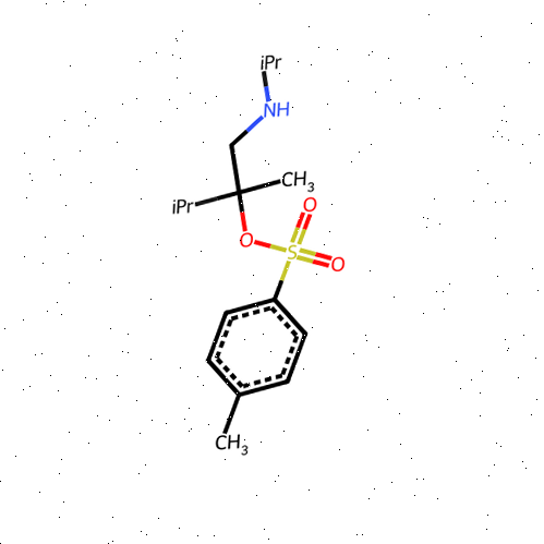 Cc1ccc(S(=O)(=O)OC(C)(CNC(C)C)C(C)C)cc1